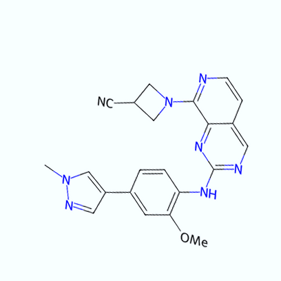 COc1cc(-c2cnn(C)c2)ccc1Nc1ncc2ccnc(N3CC(C#N)C3)c2n1